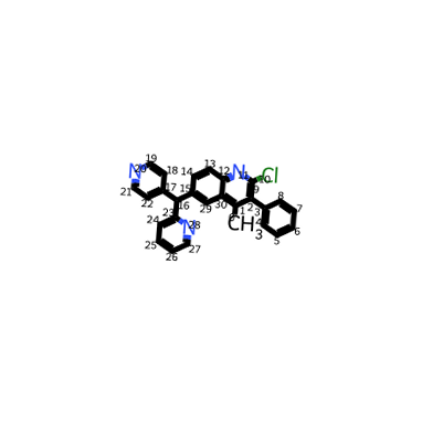 Cc1c(-c2ccccc2)c(Cl)nc2ccc(C(c3ccncc3)c3ccccn3)cc12